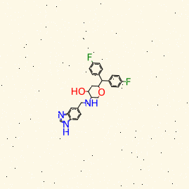 OC1CC(C(c2ccc(F)cc2)c2ccc(F)cc2)OCC1NCc1ccc2[nH]cnc2c1